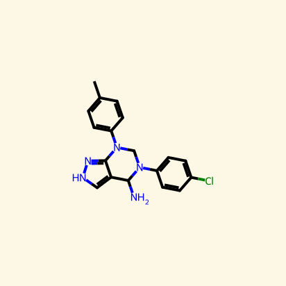 Cc1ccc(N2CN(c3ccc(Cl)cc3)C(N)c3c[nH]nc32)cc1